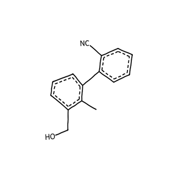 Cc1c(CO)cccc1-c1ccccc1C#N